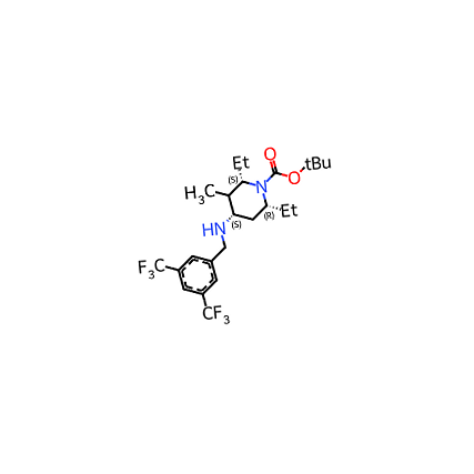 CC[C@@H]1C[C@H](NCc2cc(C(F)(F)F)cc(C(F)(F)F)c2)C(C)[C@H](CC)N1C(=O)OC(C)(C)C